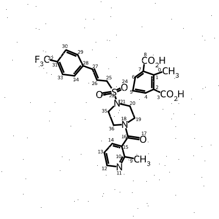 Cc1c(C(=O)O)cccc1C(=O)O.Cc1ncccc1C(=O)N1CCN(S(=O)(=O)CC=Cc2ccc(C(F)(F)F)cc2)CC1